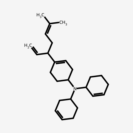 C=CC(CC=C(C)C)C1=CCC(N(C2C=CCCC2)C2CC=CCC2)CC1